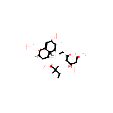 CCC(C)(C)C(=O)O[C@H]1C[C@@H](C)C(O)C2=CC(O)[C@H](C)[C@H](CC[C@@H]3C[C@@H](O)CC(=O)O3)[C@H]21